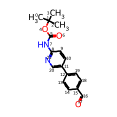 CC(C)(C)OC(=O)Nc1ccc(-c2ccc(C=O)cc2)cn1